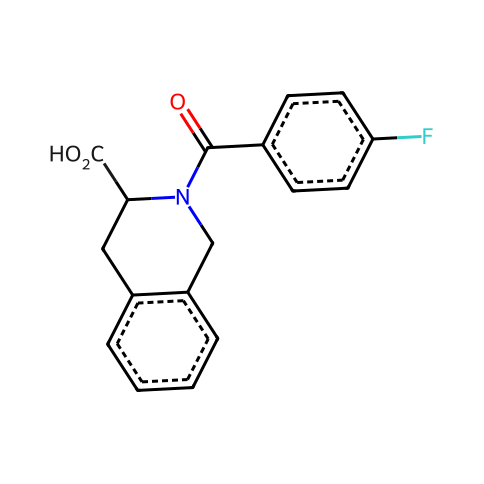 O=C(O)C1Cc2ccccc2CN1C(=O)c1ccc(F)cc1